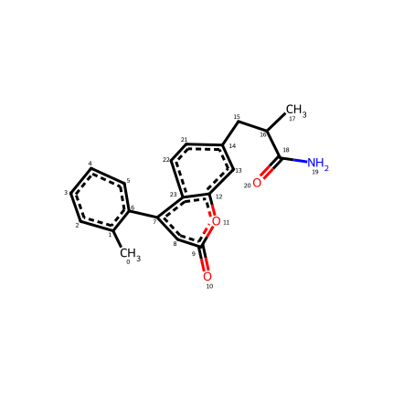 Cc1ccccc1-c1cc(=O)oc2cc(CC(C)C(N)=O)ccc12